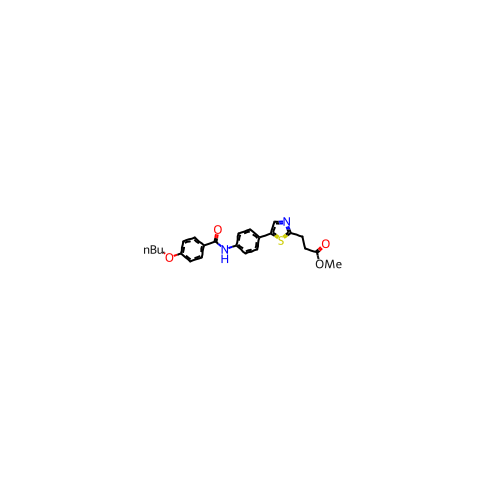 CCCCOc1ccc(C(=O)Nc2ccc(-c3cnc(CCC(=O)OC)s3)cc2)cc1